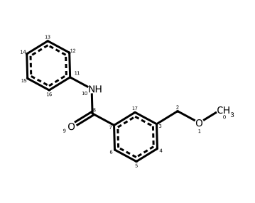 COCc1cccc(C(=O)Nc2ccccc2)c1